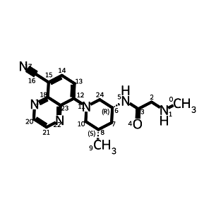 CNCC(=O)N[C@@H]1C[C@H](C)CN(c2ccc(C#N)c3nccnc23)C1